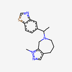 CC(c1ccc2scnc2c1)N1CCCc2cnn(C)c2C1